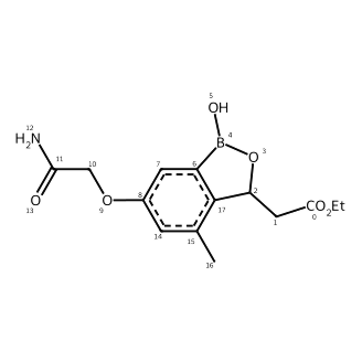 CCOC(=O)CC1OB(O)c2cc(OCC(N)=O)cc(C)c21